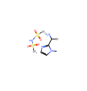 CCC(N)c1nccn1C.O=S(=O)(NS(=O)(=O)C(F)(F)F)C(F)(F)F